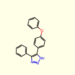 c1ccc(Oc2ccc(-c3[nH]nnc3-c3ccccc3)cc2)cc1